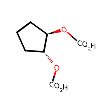 O=C(O)O[C@@H]1CCC[C@H]1OC(=O)O